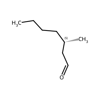 CCCC[C@H](C)CC=O